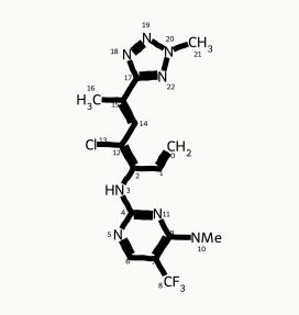 C=C/C(Nc1ncc(C(F)(F)F)c(NC)n1)=C(Cl)\C=C(/C)c1nnn(C)n1